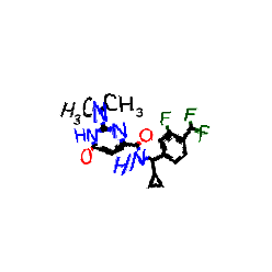 CN(C)c1nc(C(=O)NC(c2ccc(C(F)F)c(F)c2)C2CC2)cc(=O)[nH]1